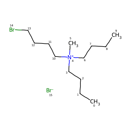 CCCC[N+](C)(CCCC)CCCCBr.[Br-]